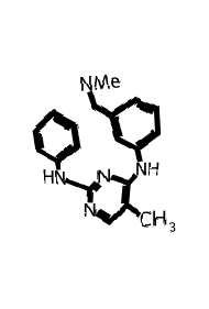 CNCc1cccc(Nc2nc(Nc3ccccc3)ncc2C)c1